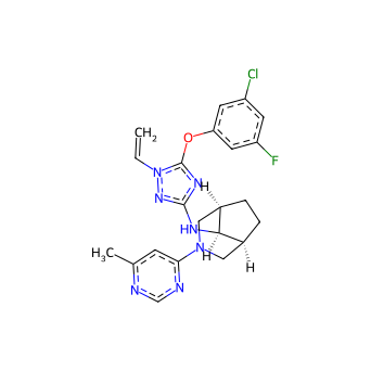 C=Cn1nc(N[C@H]2[C@@H]3CC[C@H]2CN(c2cc(C)ncn2)C3)nc1Oc1cc(F)cc(Cl)c1